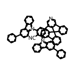 N#Cc1c(-n2c3ccccc3c3cc(-c4ccccc4)ccc32)cc(-c2cncc3c2C2(c4ccccc4-c4ccccc42)c2ccccc2-3)cc1-n1c2ccccc2c2cc(-c3ccccc3)ccc21